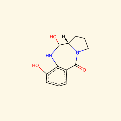 O=C1c2cccc(O)c2NC(O)[C@@H]2CCCN12